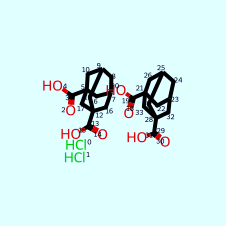 Cl.Cl.O=C(O)C12CC3CC(C1)CC(C(=O)O)(C3)C2.O=C(O)C12CC3CC(C1)CC(C(=O)O)(C3)C2